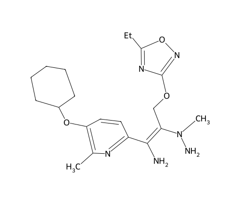 CCc1nc(OC/C(=C(/N)c2ccc(OC3CCCCC3)c(C)n2)N(C)N)no1